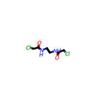 O=C(CCl)NCCNC(=O)CCl